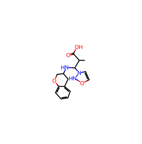 CC(C(=O)O)C(NC1COc2ccccc2C1)N1C=CON1